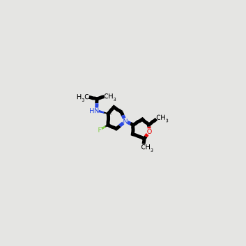 CC(C)N[C@H]1CCN(C2CC(C)OC(C)C2)C[C@H]1F